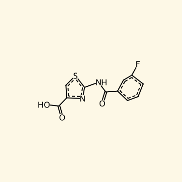 O=C(Nc1nc(C(=O)O)cs1)c1cccc(F)c1